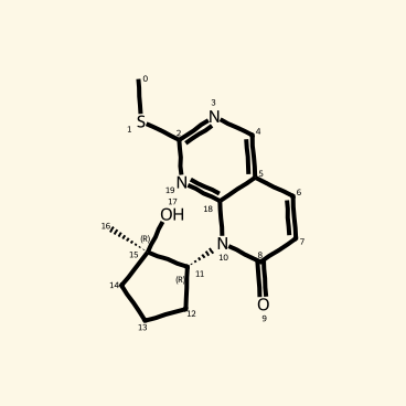 CSc1ncc2ccc(=O)n([C@@H]3CCC[C@@]3(C)O)c2n1